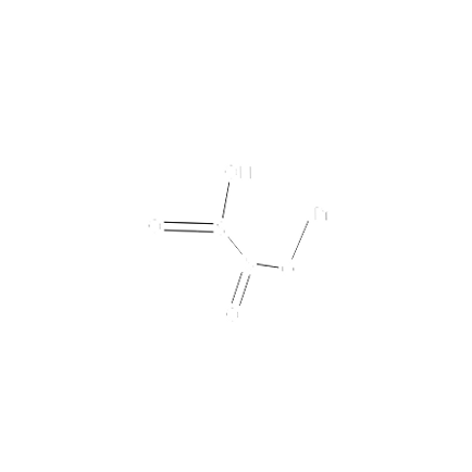 CC(C)OS(=O)S(=O)O